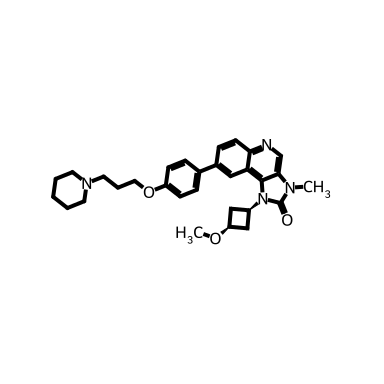 CO[C@H]1C[C@@H](n2c(=O)n(C)c3cnc4ccc(-c5ccc(OCCCN6CCCCC6)cc5)cc4c32)C1